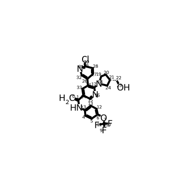 C=C(Nc1ccc(OC(F)(F)F)cc1)c1cnc(N2CC[C@H](CO)C2)c(-c2ccc(Cl)nc2)c1